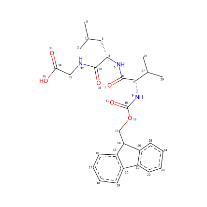 CC(C)C[C@H](NC(=O)[C@@H](NC(=O)OCC1c2ccccc2-c2ccccc21)C(C)C)C(=O)NCC(=O)O